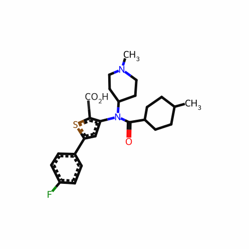 CC1CCC(C(=O)N(c2cc(-c3ccc(F)cc3)sc2C(=O)O)C2CCN(C)CC2)CC1